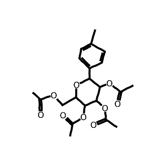 CC(=O)OCC1OC(c2ccc(C)cc2)C(OC(C)=O)C(OC(C)=O)C1OC(C)=O